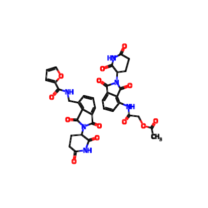 CC(=O)OCC(=O)Nc1cccc2c1C(=O)N(C1CCC(=O)NC1=O)C2=O.O=C1CCC(N2C(=O)c3cccc(CNC(=O)c4ccco4)c3C2=O)C(=O)N1